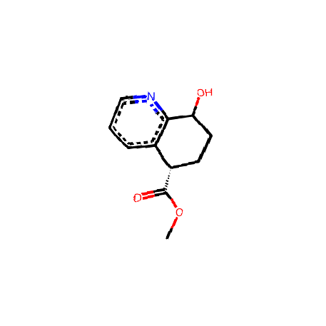 COC(=O)[C@H]1CCC(O)c2ncccc21